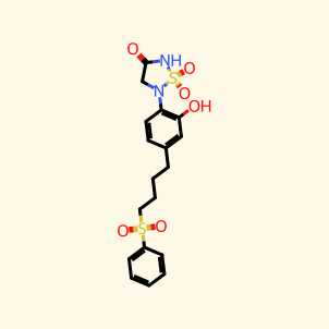 O=C1CN(c2ccc(CCCCS(=O)(=O)c3ccccc3)cc2O)S(=O)(=O)N1